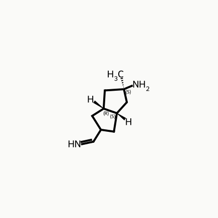 C[C@@]1(N)C[C@H]2CC(C=N)C[C@H]2C1